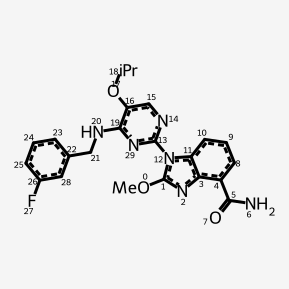 COc1nc2c(C(N)=O)cccc2n1-c1ncc(OC(C)C)c(NCc2cccc(F)c2)n1